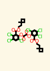 CC1(CCOC(=O)c2c(Cl)c(Cl)cc(Cl)c2OC(=O)C(=O)Oc2c(Cl)cc(Cl)c(Cl)c2C(=O)OCCC2(C)CCC2)CCC1